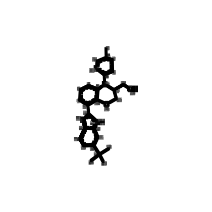 Cc1ccc(N2c3cccc(-c4nc5ccc(C(C)(C)C)cc5[nH]4)c3OCC2CO)nc1